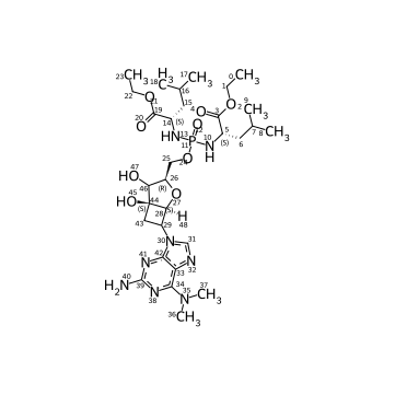 CCOC(=O)[C@H](CC(C)C)NP(=O)(N[C@@H](CC(C)C)C(=O)OCC)OC[C@H]1O[C@H]2C(n3cnc4c(N(C)C)nc(N)nc43)C[C@]2(O)C1O